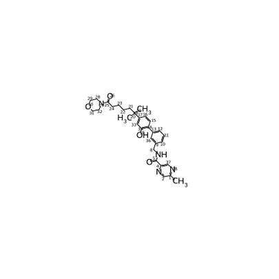 Cc1cnc(C(=O)NCc2cccc(-c3ccc(C(C)(C)CCCCC(=O)N4CCOCC4)cc3O)c2)cn1